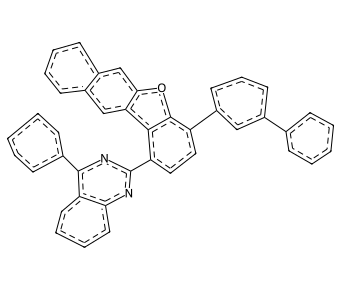 c1ccc(-c2cccc(-c3ccc(-c4nc(-c5ccccc5)c5ccccc5n4)c4c3oc3cc5ccccc5cc34)c2)cc1